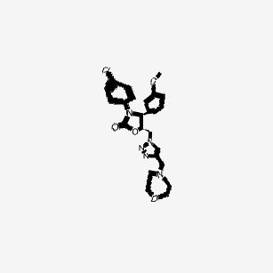 COc1cccc([C@H]2[C@H](Cn3cc(CN4CCOCC4)nn3)OC(=O)N2c2ccc(Cl)cc2)c1